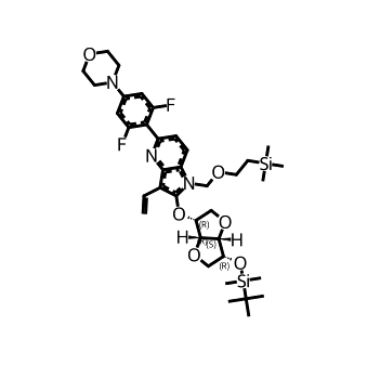 C=Cc1c(O[C@@H]2CO[C@H]3[C@@H]2OC[C@H]3O[Si](C)(C)C(C)(C)C)n(COCC[Si](C)(C)C)c2ccc(-c3c(F)cc(N4CCOCC4)cc3F)nc12